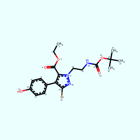 CCOC(=O)c1c(-c2ccc(O)cc2)c(Br)nn1CCNC(=O)OC(C)(C)C